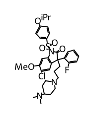 COc1cc2c(cc1Cl)C(CCCN1CCC(N(C)C)CC1)(c1ccccc1F)C(=O)N2S(=O)(=O)c1ccc(OC(C)C)cc1